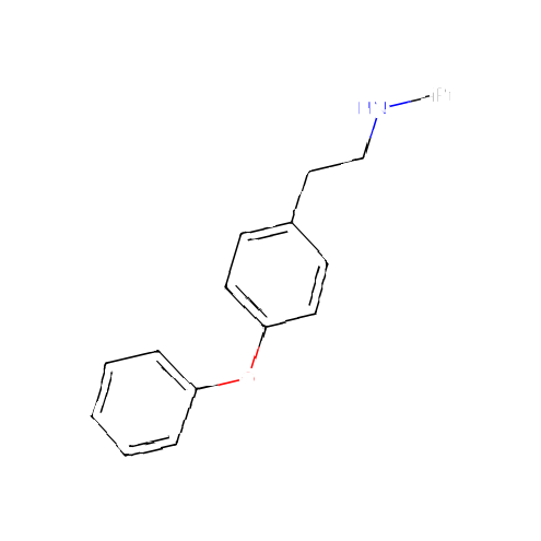 CC(C)NCCc1ccc(Oc2ccccc2)cc1